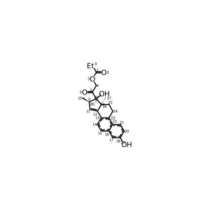 CCC(=O)OCC(=O)[C@@]1(O)[C@H](C)C=C2c3ccc4cc(O)ccc4c3CC[C@@]21C